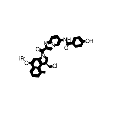 Cc1cccc2c(OC(C)C)cc3c(c12)[C@H](CCl)CN3C(=O)c1cn2cc(NC(=O)c3ccc(O)cc3)ccc2n1